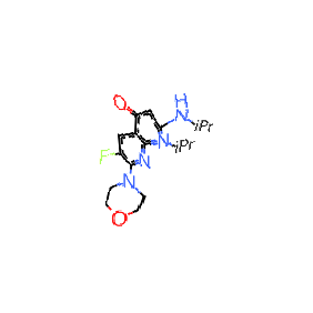 CC(C)Nc1cc(=O)c2cc(F)c(N3CCOCC3)nc2n1C(C)C